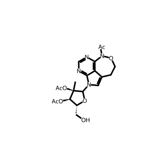 CC(=O)O[C@@H]1[C@@H](CO)OC(n2cc3c4c(ncnc42)N(C(C)=O)OCC3)[C@]1(C)OC(C)=O